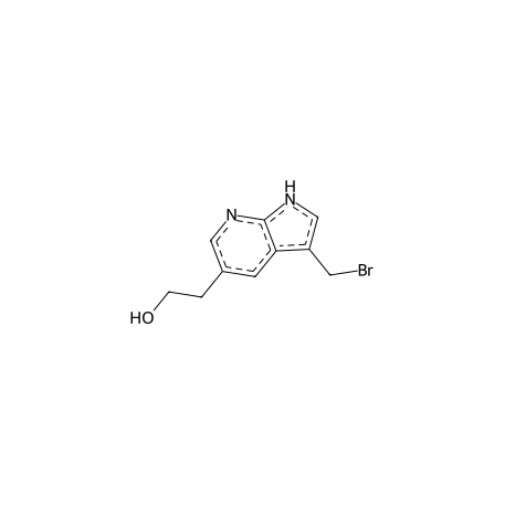 OCCc1cnc2[nH]cc(CBr)c2c1